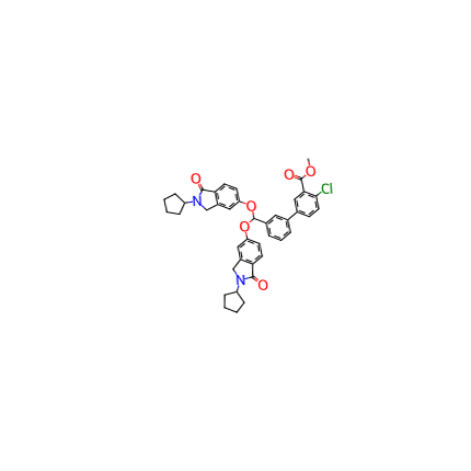 COC(=O)c1cc(-c2cccc(C(Oc3ccc4c(c3)CN(C3CCCC3)C4=O)Oc3ccc4c(c3)CN(C3CCCC3)C4=O)c2)ccc1Cl